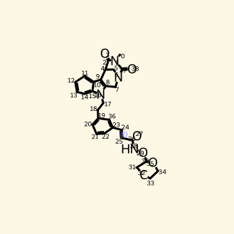 CN1C(=O)C2CN(Cc3c2c2ccccc2n3CCc2cccc(/C=C/C(=O)NOC3CCCCO3)c2)C1=O